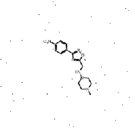 CN1CCN(NCc2nc(-c3ccc([N+](=O)[O-])cc3)no2)CC1